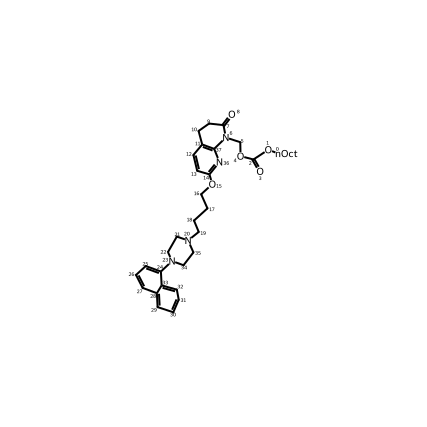 CCCCCCCCOC(=O)OCN1C(=O)CCc2ccc(OCCCCN3CCN(c4cccc5ccccc45)CC3)nc21